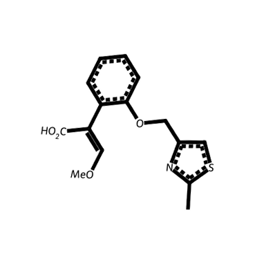 COC=C(C(=O)O)c1ccccc1OCc1csc(C)n1